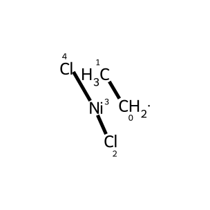 [CH2]C.[Cl][Ni][Cl]